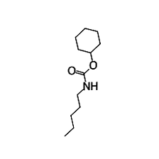 CCCCCNC(=O)OC1CCCCC1